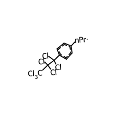 CC[CH]c1ccc(C(Cl)(Cl)C(Cl)(Cl)C(Cl)(Cl)Cl)cc1